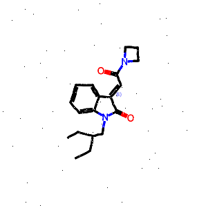 CCC(CC)CN1C(=O)/C(=C/C(=O)N2CCC2)c2ccccc21